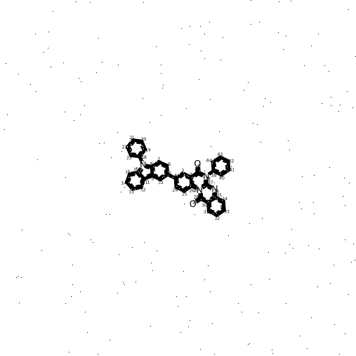 O=c1c2cc(-c3ccc4c(c3)c3ccccc3n4-c3ccccc3)ccc2n2c(=O)c3ccccc3nc2n1-c1ccccc1